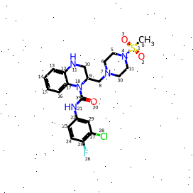 CS(=O)(=O)N1CCN(CC2CNc3ccccc3N2C(=O)Nc2ccc(F)c(Cl)c2)CC1